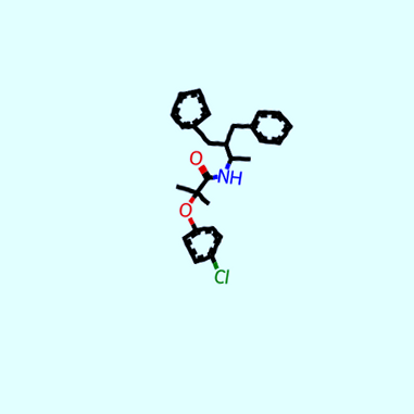 CC(NC(=O)C(C)(C)Oc1ccc(Cl)cc1)C(Cc1ccccc1)Cc1ccccc1